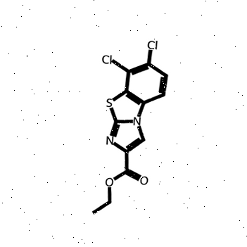 CCOC(=O)c1cn2c(n1)sc1c(Cl)c(Cl)ccc12